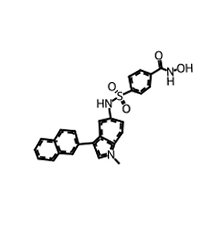 Cn1cc(-c2ccc3ccccc3c2)c2cc(NS(=O)(=O)c3ccc(C(=O)NO)cc3)ccc21